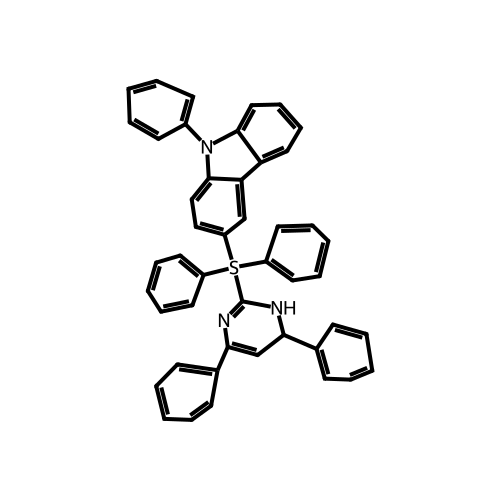 C1=C(c2ccccc2)N=C(S(c2ccccc2)(c2ccccc2)c2ccc3c(c2)c2ccccc2n3-c2ccccc2)NC1c1ccccc1